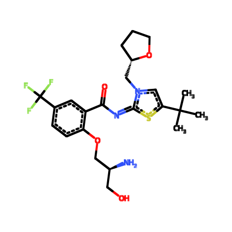 CC(C)(C)c1cn(C[C@@H]2CCCO2)c(=NC(=O)c2cc(C(F)(F)F)ccc2OC[C@@H](N)CO)s1